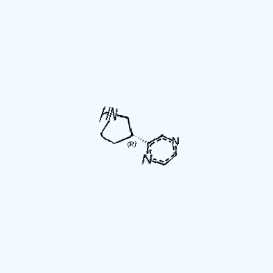 c1cnc([C@@H]2CCNC2)cn1